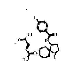 CN1CCC(NC(=O)c2ccc(F)cc2)C12CCCCC2.O=C(O)/C=C/C(=O)O